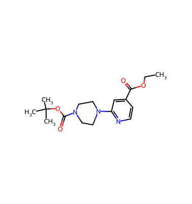 CCOC(=O)c1ccnc(N2CCN(C(=O)OC(C)(C)C)CC2)c1